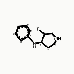 FC1CNCCC1Nc1ccccc1